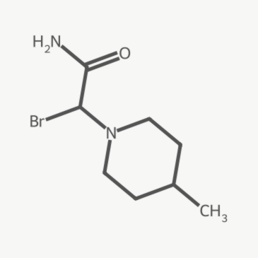 CC1CCN(C(Br)C(N)=O)CC1